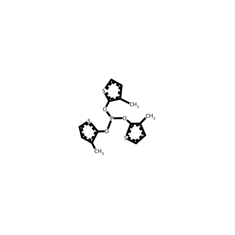 Cc1ccsc1OP(Oc1sccc1C)Oc1sccc1C